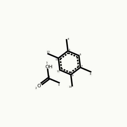 CC(=O)O.Cc1cc(C)c(C)cc1C